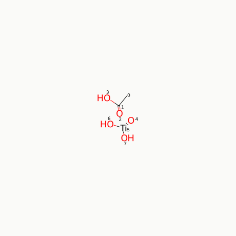 CC(=O)O.[O]=[Ti]([OH])[OH]